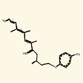 C\C(=C/C(C)=C(C)/C=C\S)C(=N)CC(C)CCOc1ccc(O)cc1